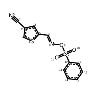 N#Cc1csc(/C=N/OS(=O)(=O)c2ccccc2)c1